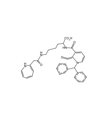 O=C=C1C(C(=O)NC(CCCCNC(=O)CC2=CC=CC=CN2)C(=O)O)=CC=CN1C(c1ccccc1)c1ccccc1